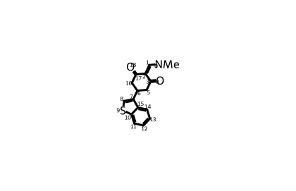 CNC=C1C(=O)CC(c2csc3ccccc23)CC1=O